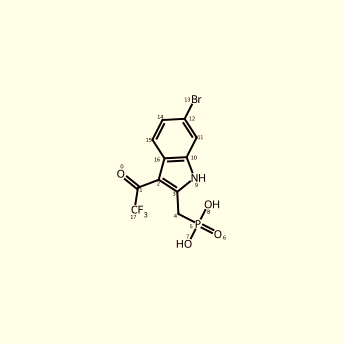 O=C(c1c(CP(=O)(O)O)[nH]c2cc(Br)ccc12)C(F)(F)F